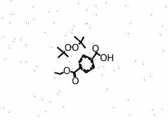 CC(C)(C)OOC(C)(C)C.CCOC(=O)c1ccc(C(=O)O)cc1